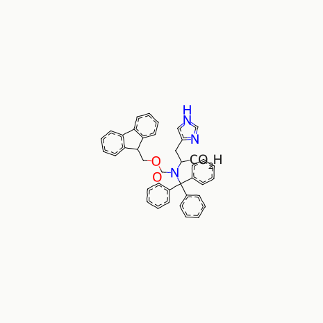 O=C(O)C(Cc1c[nH]cn1)N(C(=O)OCC1c2ccccc2-c2ccccc21)C(c1ccccc1)(c1ccccc1)c1ccccc1